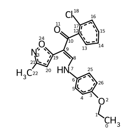 CCOc1ccc(N/C=C(/C(=O)c2ccccc2Cl)c2cc(C)no2)cc1